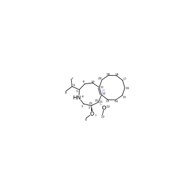 CO[C@H]1CNC(C(C)C)CC/C2=C(/CCCCCCCC2)[C@@H]1OC